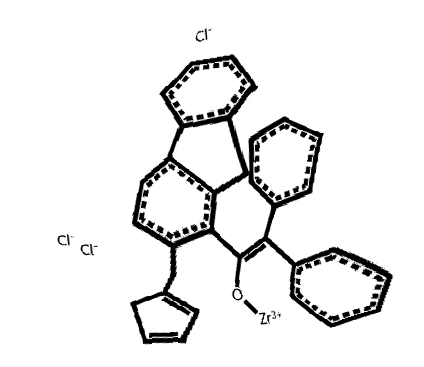 [Cl-].[Cl-].[Cl-].[Zr+3][O]C(=C(c1ccccc1)c1ccccc1)c1c(C2=CC=CC2)ccc2c1Cc1ccccc1-2